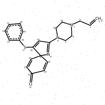 C=CCN1CCN(C2=NC3(C=CC(=O)C=C3)C(Sc3ccccc3)=C2)CC1